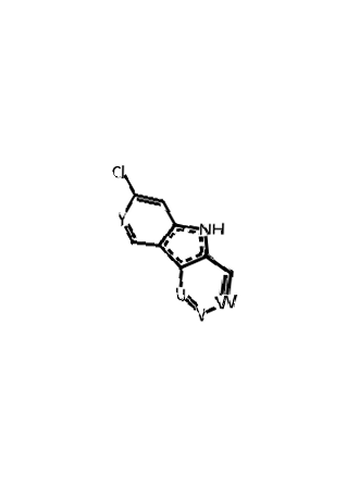 Cl[C]1=Cc2[nH]c3[c](c2[CH]=[Y]1)[U]=[V][W]=[CH]3